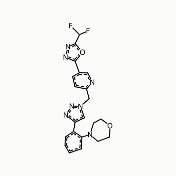 FC(F)c1nnc(-c2ccc(Cn3cc(-c4ccccc4N4CCOCC4)nn3)nc2)o1